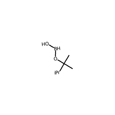 CC(C)C(C)(C)OBO